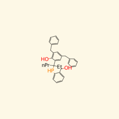 CCCC(CC)(Pc1ccccc1CO)c1cc(Cc2ccccc2)cc(Cc2ccccc2)c1O